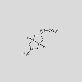 CN1C[C@H]2CC(NC(=O)O)C[C@H]2C1